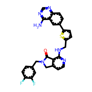 Nc1ncnc2ccc(-c3ccc(CNc4nccc5c4C(=O)N(Cc4ccc(F)c(F)c4)C5)s3)cc12